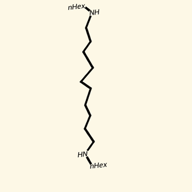 CCCCCCNCCCCCCCCCCNCCCCCC